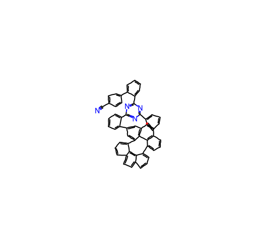 N#Cc1ccc(-c2ccccc2-c2nc(-c3ccccc3)nc(-c3ccccc3-c3cc4ccc5cccc6c7cccc8ccc9cccc(c(c3)c4c56)c9c87)n2)cc1